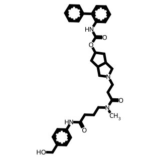 CN(CCCC(=O)Nc1ccc(CO)cc1)C(=O)CCN1CC2CC(OC(=O)Nc3ccccc3-c3ccccc3)CC2C1